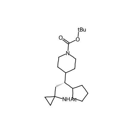 CC(=O)NC1(C[C@@H](C2CCCC2)C2CCN(C(=O)OC(C)(C)C)CC2)CC1